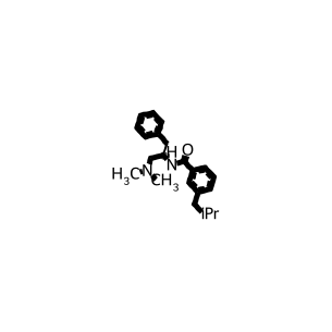 CC(C)Cc1cccc(C(=O)N[C@H](Cc2ccccc2)CN(C)C)c1